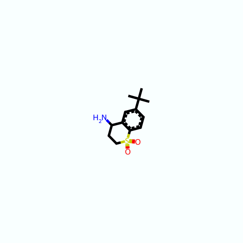 CC(C)(C)c1ccc2c(c1)C(N)CCS2(=O)=O